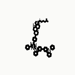 CC(C)CCC[C@@H](C)[C@H]1CCC2[C@@H]3CCC4CC(c5ccc(-c6nc(-c7ccccc7)nc(-n7c8ccccc8c8cc(-c9ccc%10c(c9)c9ccccc9n%10-c9ccccc9)ccc87)n6)cc5)CC[C@]4(C)C3CC[C@@]21C